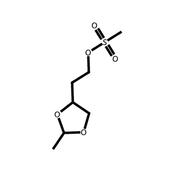 CC1OCC(CCOS(C)(=O)=O)O1